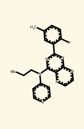 Cc1ccc(F)c(-c2nc(N(CCC(C)(C)C)c3ccncc3)c3nccnc3n2)c1